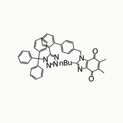 CCCCc1nc2c(n1Cc1ccc(-c3ccccc3-c3nnnn3C(c3ccccc3)(c3ccccc3)c3ccccc3)cc1)C(=O)C(C)=C(C)C2=O